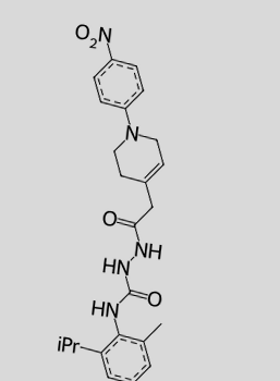 Cc1cccc(C(C)C)c1NC(=O)NNC(=O)CC1=CCN(c2ccc([N+](=O)[O-])cc2)CC1